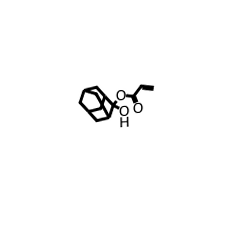 C=CC(=O)OC1(O)C2CC3CC(C2)CC1C3